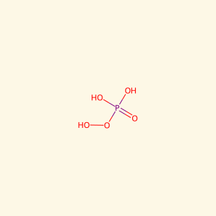 O=P(O)(O)OO